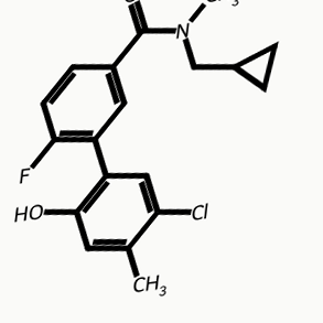 Cc1cc(O)c(-c2cc(C(=O)N(C)CC3CC3)ccc2F)cc1Cl